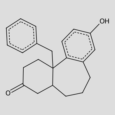 O=C1CCC2(Cc3ccccc3)c3ccc(O)cc3CCCC2C1